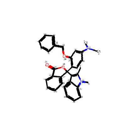 CCN(CC)c1ccc(C2(c3c(C)n(C)c4ccccc34)OC(=O)c3ccccc32)c(OCc2ccccc2)c1